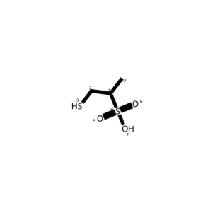 CC(CS)S(=O)(=O)O